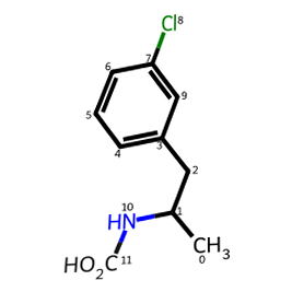 CC(Cc1cccc(Cl)c1)NC(=O)O